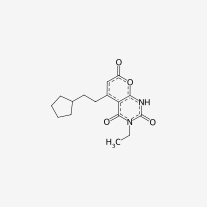 CCn1c(=O)[nH]c2oc(=O)cc(CCC3CCCC3)c2c1=O